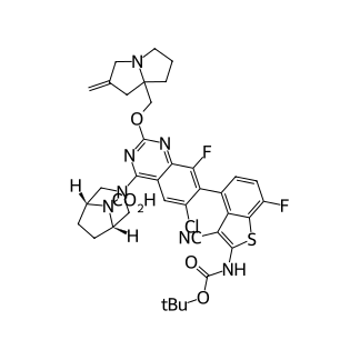 C=C1CN2CCCC2(COc2nc(N3C[C@H]4CC[C@@H](C3)N4C(=O)O)c3cc(Cl)c(-c4ccc(F)c5sc(NC(=O)OC(C)(C)C)c(C#N)c45)c(F)c3n2)C1